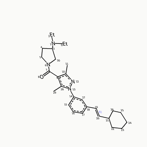 CCN(CC)C1CCN(C(=O)c2c(C)nn(-c3cccc(/C=C/C4CCCCC4)c3)c2C)C1